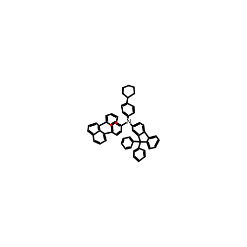 c1ccc(-c2cccc3cccc(-c4ccc(N(c5ccc(C6CCCCC6)cc5)c5ccc6c(c5)C(c5ccccc5)(c5ccccc5)c5ccccc5-6)cc4)c23)cc1